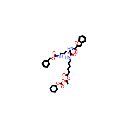 CC(OC(=O)CCCCCNC(=O)[C@H](CCCNC(=O)OCc1ccccc1)NC(=O)c1cc2ccccc2o1)OC(=O)OC1CCCCC1